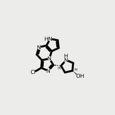 O[C@H]1CN[C@@H](c2nc(Cl)c3cnc4[nH]ccc4n23)C1